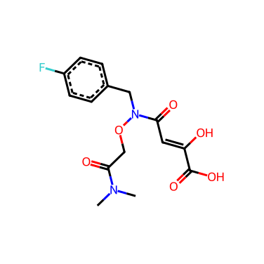 CN(C)C(=O)CON(Cc1ccc(F)cc1)C(=O)/C=C(\O)C(=O)O